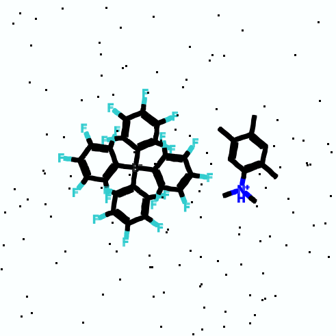 Cc1cc(C)c([NH+](C)C)cc1C.Fc1c(F)c(F)c([B-](c2c(F)c(F)c(F)c(F)c2F)(c2c(F)c(F)c(F)c(F)c2F)c2c(F)c(F)c(F)c(F)c2F)c(F)c1F